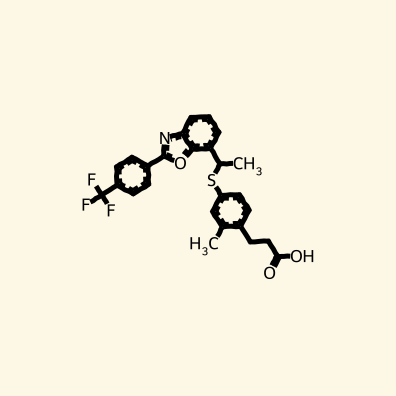 Cc1cc(SC(C)c2cccc3nc(-c4ccc(C(F)(F)F)cc4)oc23)ccc1CCC(=O)O